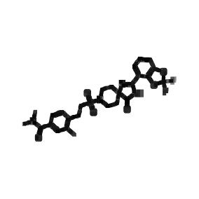 Cc1cc(C(=O)N(C)C)ccc1CCS(=O)(=O)N1CCC2(CC1)N=C(c1cccc3c1OC(F)(F)O3)NC2=O